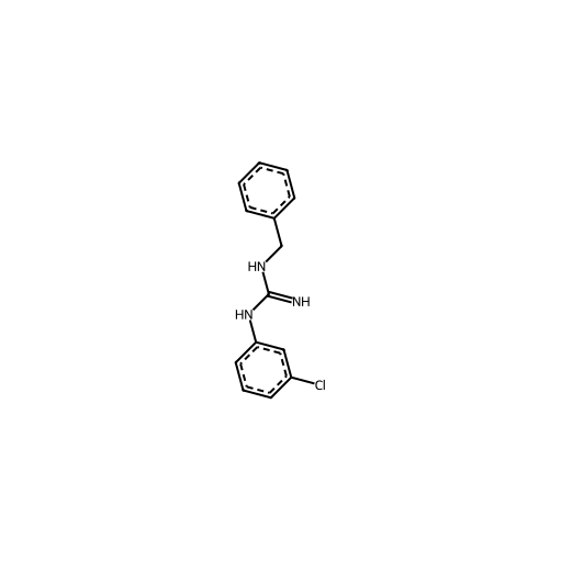 N=C(NCc1ccccc1)Nc1cccc(Cl)c1